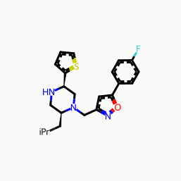 CC(C)C[C@H]1CN[C@@H](c2cccs2)CN1Cc1cc(-c2ccc(F)cc2)on1